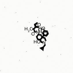 C=C(C(=O)NC1CCC2(O)CN(CC3CC3)CCC2(c2cccc(O)c2)C1)c1ccoc1C